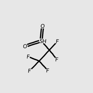 O=[SH](=O)C(F)(F)C(F)(F)F